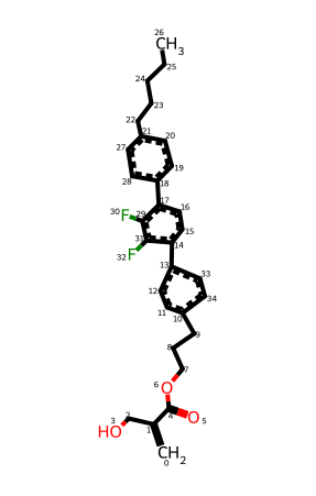 C=C(CO)C(=O)OCCCc1ccc(-c2ccc(-c3ccc(CCCCC)cc3)c(F)c2F)cc1